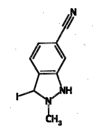 CN1Nc2cc(C#N)ccc2C1I